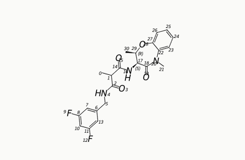 CC(C(=O)NCc1cc(F)cc(F)c1)C(=O)N[C@@H]1C(=O)N(C)c2ccccc2O[C@@H]1C